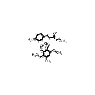 CCOC(=O)CCc1ccc(C)cc1.COc1cc(C)c(OC)c(OC)c1OC